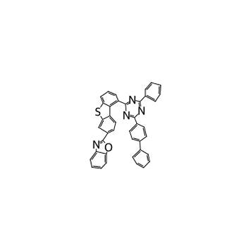 c1ccc(-c2ccc(-c3nc(-c4ccccc4)nc(-c4cccc5sc6cc(-c7nc8ccccc8o7)ccc6c45)n3)cc2)cc1